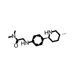 C[C@@H]1CC[C@@H](c2ccc(NCC(=O)N(C)C)cc2)NC1